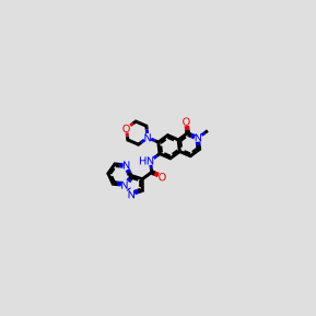 Cn1ccc2cc(NC(=O)c3cnn4cccnc34)c(N3CCOCC3)cc2c1=O